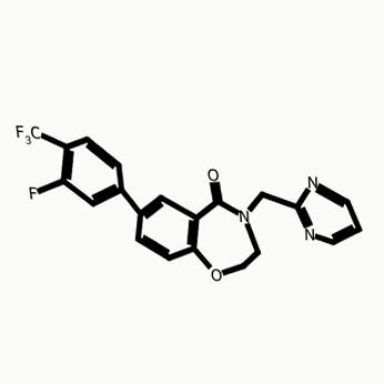 O=C1c2cc(-c3ccc(C(F)(F)F)c(F)c3)ccc2OCCN1Cc1ncccn1